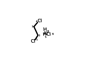 Cl.ClCCCl.[AlH3]